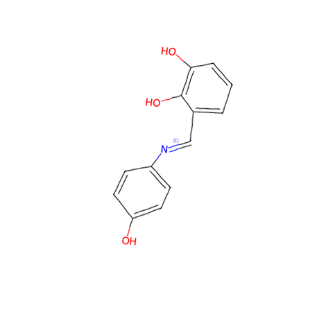 Oc1ccc(/N=C/c2cccc(O)c2O)cc1